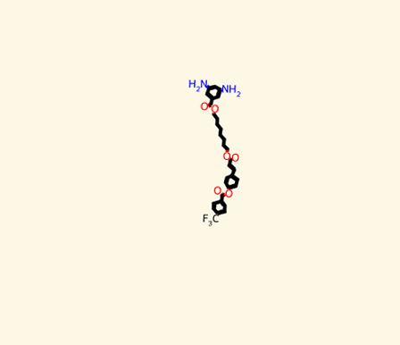 Nc1cc(N)cc(C(=O)OCCCCCCCCOC(=O)C=Cc2ccc(OC(=O)c3ccc(C(F)(F)F)cc3)cc2)c1